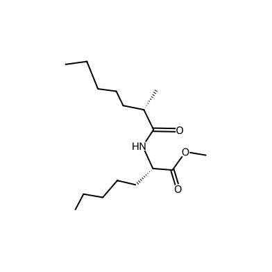 CCCCC[C@H](NC(=O)[C@@H](C)CCCCC)C(=O)OC